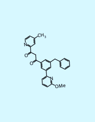 COc1cccc(-c2cc(Cc3ccccc3)cc(C(=O)CC(=O)c3cc(C)ccn3)c2)n1